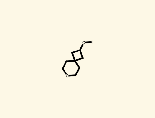 IOC1CC2(CCOCC2)C1